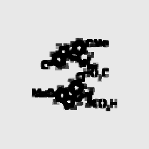 COc1ccc(C2(CCCN(C)[C@@H](C)C(=O)O)CCc3cc(Cl)ccc32)cc1.COc1ccc2c(c1)CCC2(CCN(C)CC(=O)O)c1ccc(Cl)cc1